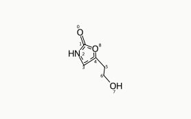 O=c1[nH]cc(CCO)o1